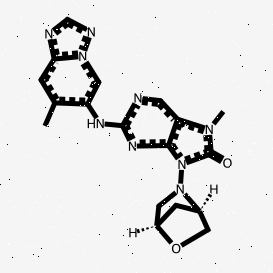 Cc1cc2ncnn2cc1Nc1ncc2c(n1)n(N1C[C@H]3C[C@@H]1CO3)c(=O)n2C